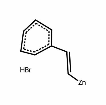 Br.[Zn][CH]=Cc1ccccc1